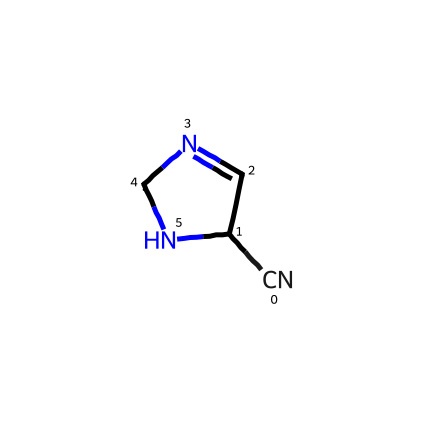 N#CC1C=N[CH]N1